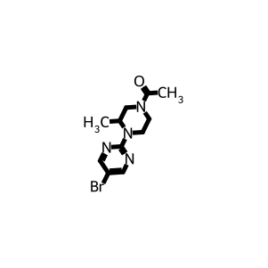 CC(=O)N1CCN(c2ncc(Br)cn2)C(C)C1